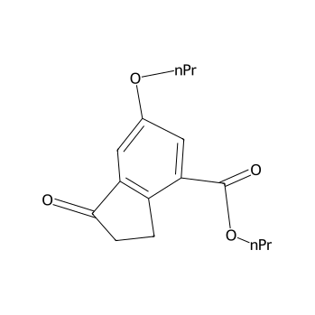 CCCOC(=O)c1cc(OCCC)cc2c1CCC2=O